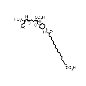 CC(=O)CC[C@H](NC(=O)CC[C@H](NC(=O)[C@H]1CC[C@H](CNC(=O)CCCCCCCCCCCCCCCCC(=O)O)CC1)C(=O)O)C(=O)O